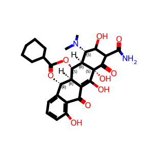 C[C@H]1c2cccc(O)c2C(=O)C2=C(O)[C@]3(O)C(=O)C(C(N)=O)C(O)[C@@H](N(C)C)[C@@H]3[C@@H](OC(=O)C3CCCCC3)[C@@H]21